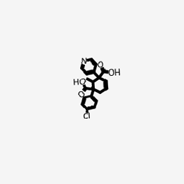 CC1C(C(=O)O)(c2ccncc2)C=CCC1(C(=O)O)c1ccc(Cl)cc1